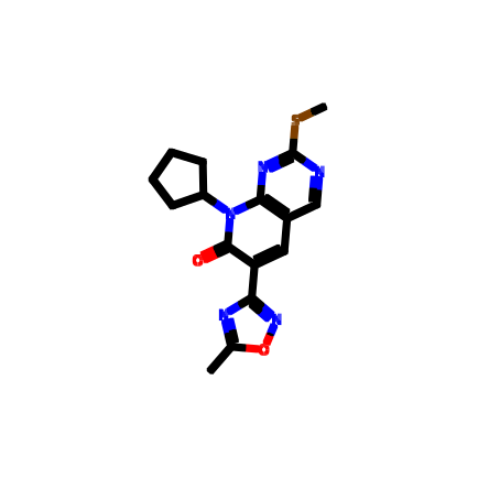 CSc1ncc2cc(-c3noc(C)n3)c(=O)n(C3CCCC3)c2n1